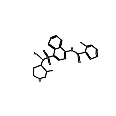 CC(=O)N(C1CCNCC1C)S(=O)(=O)c1ccc(NC(=O)c2ccccc2C)c2ccccc12